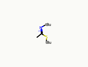 C/C(=N/C(C)(C)C)SC(C)(C)C